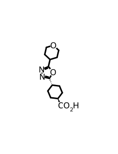 O=C(O)[C@H]1CC[C@H](c2nnc(C3CCOCC3)o2)CC1